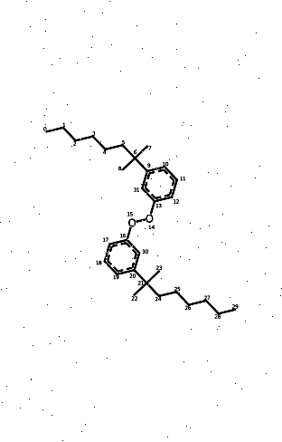 CCCCCCC(C)(C)c1cccc(OOc2cccc(C(C)(C)CCCCCC)c2)c1